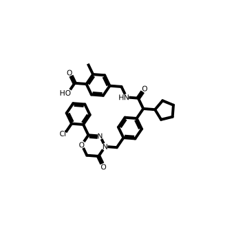 Cc1cc(CNC(=O)C(c2ccc(CN3N=C(c4ccccc4Cl)OCC3=O)cc2)C2CCCC2)ccc1C(=O)O